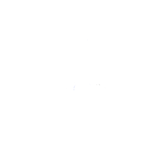 C[C@@H]1COc2ccccc2-c2cncc(c2)S(=O)(=O)CCCC[C@H](NC(=O)Cc2cccc3ccccc23)C(=O)N1